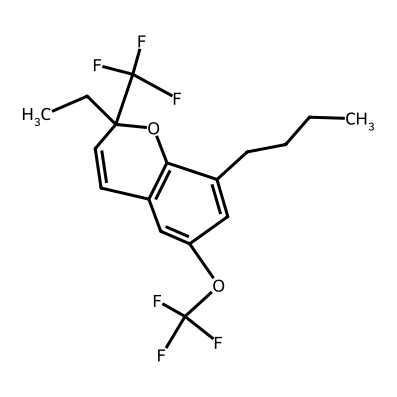 CCCCc1cc(OC(F)(F)F)cc2c1OC(CC)(C(F)(F)F)C=C2